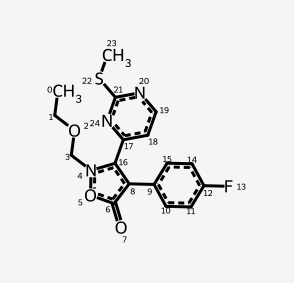 CCOCn1oc(=O)c(-c2ccc(F)cc2)c1-c1ccnc(SC)n1